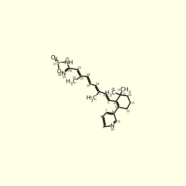 CC(/C=C/C1=C(c2cccnc2)CCCC1(C)C)=C\C=C\C(C)=C\C1=NO[S@@](=O)N1